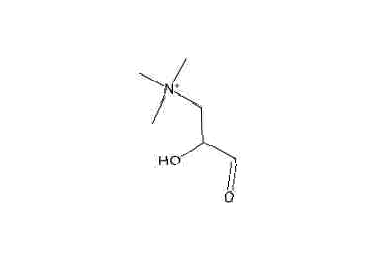 C[N+](C)(C)CC(O)C=O